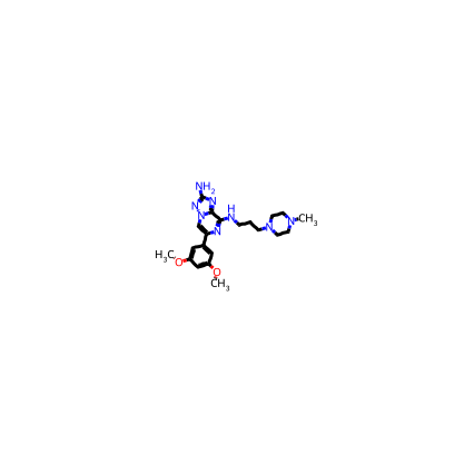 COc1cc(OC)cc(-c2cn3nc(N)nc3c(NCCCN3CCN(C)CC3)n2)c1